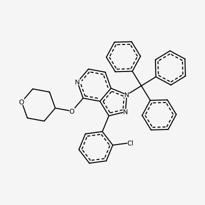 Clc1ccccc1-c1nn(C(c2ccccc2)(c2ccccc2)c2ccccc2)c2ccnc(OC3CCOCC3)c12